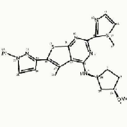 CO[C@@H]1CC[C@H](Nc2nc(-c3nccn3C)nc3sc(-c4ccn(C(C)C)n4)c(C)c23)C1